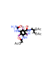 CC(=O)OCC(=O)Nc1c(I)c(NC(N)=O)c(I)c(C(=O)NCC(COC(C)=O)OC(C)=O)c1I